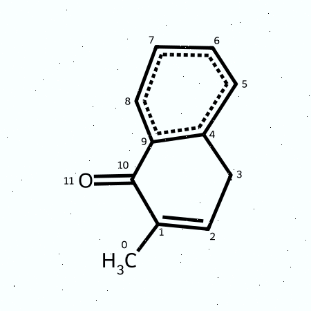 CC1=C[CH]c2ccccc2C1=O